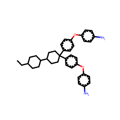 CCC1CCC(C2CCC(c3ccc(Oc4ccc(N)cc4)cc3)(c3ccc(Oc4ccc(N)cc4)cc3)CC2)CC1